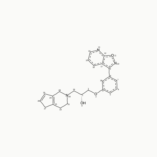 O[C@@H](COc1cccc(-c2noc3ncccc23)c1)CN1CCC2=C(C=CC2)C1